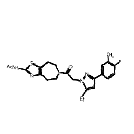 CCc1cc(-c2ccc(F)c(C)c2)nn1CC(=O)N1CCc2nc(NC(C)=O)sc2CC1